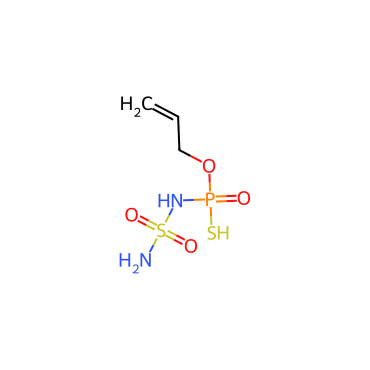 C=CCOP(=O)(S)NS(N)(=O)=O